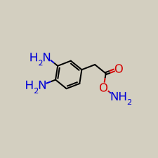 NOC(=O)Cc1ccc(N)c(N)c1